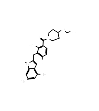 Cc1cc(C#N)cc2c1cc(Cc1c(Cl)ccc(C(=O)N3CCC(OCC(=O)O)CC3)c1O)n2C